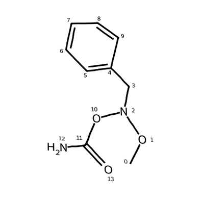 CON(Cc1ccccc1)OC(N)=O